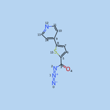 [N-]=[N+]=NC(=O)c1ccc(-c2ccncc2)s1